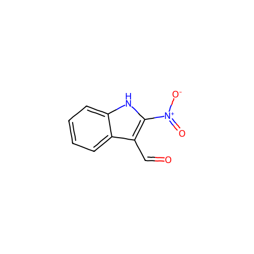 O=Cc1c([N+](=O)[O-])[nH]c2ccccc12